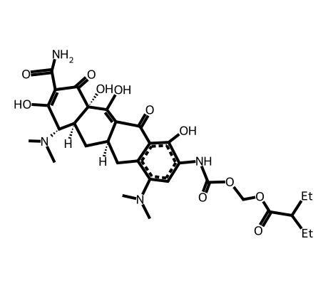 CCC(CC)C(=O)OCOC(=O)Nc1cc(N(C)C)c2c(c1O)C(=O)C1=C(O)[C@]3(O)C(=O)C(C(N)=O)=C(O)[C@@H](N(C)C)[C@@H]3C[C@@H]1C2